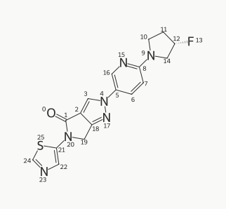 O=C1c2cn(-c3ccc(N4CC[C@H](F)C4)nc3)nc2CN1c1cncs1